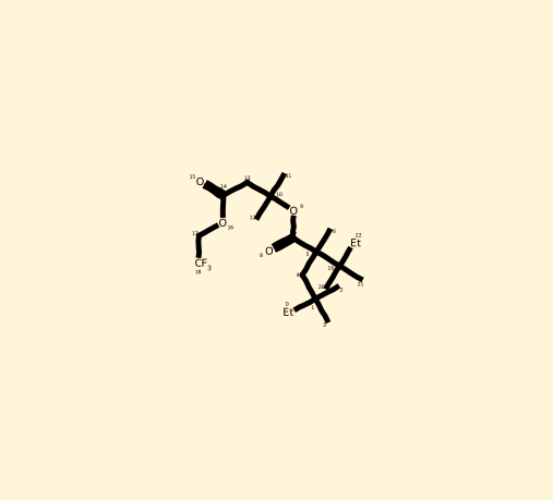 CCC(C)(C)CC(C)(C(=O)OC(C)(C)CC(=O)OCC(F)(F)F)C(C)(C)CC